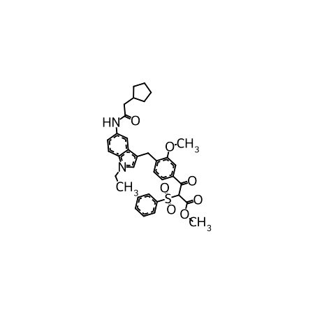 CCn1cc(Cc2ccc(C(=O)C(C(=O)OC)S(=O)(=O)c3ccccc3)cc2OC)c2cc(NC(=O)CC3CCCC3)ccc21